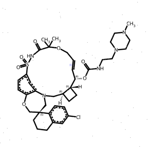 CN1CCN(CCNC(=O)O[C@H]2/C=C/COC(C)(C)C(=O)NS(=O)(=O)c3ccc4c(c3)N(C[C@@H]3CC[C@H]32)C[C@@]2(CCCc3cc(Cl)ccc32)CO4)CC1